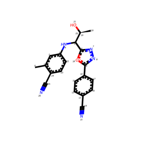 Cc1cc(NC(c2nnc(-c3ccc(C#N)cc3)o2)[C@H](C)O)ccc1C#N